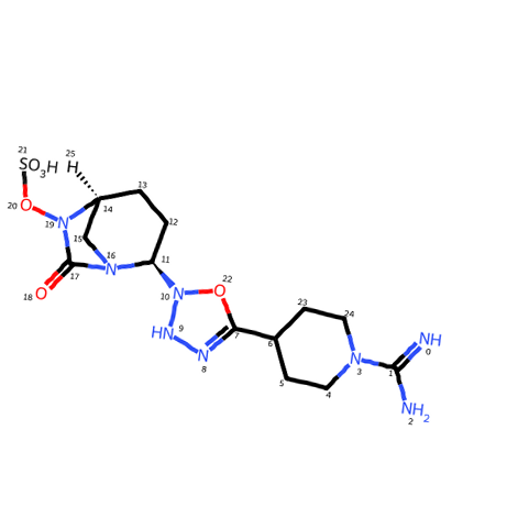 N=C(N)N1CCC(C2=NNN([C@@H]3CC[C@H]4CN3C(=O)N4OS(=O)(=O)O)O2)CC1